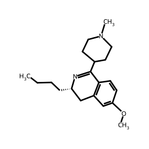 CCCC[C@H]1Cc2cc(OC)ccc2C(C2CCN(C)CC2)=N1